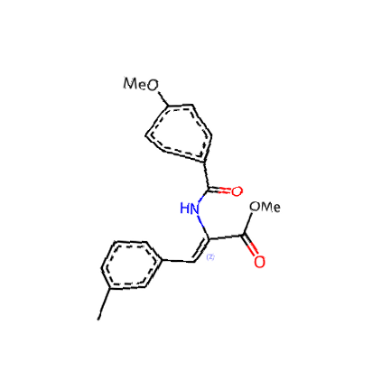 COC(=O)/C(=C/c1cccc(C)c1)NC(=O)c1ccc(OC)cc1